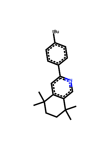 CC(C)(C)c1ccc(-c2cc3c(cn2)C(C)(C)CCC3(C)C)cc1